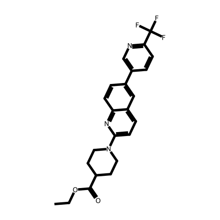 CCOC(=O)C1CCN(c2ccc3cc(-c4ccc(C(F)(F)F)nc4)ccc3n2)CC1